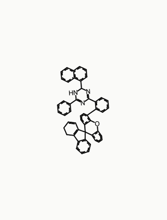 C1=CC2=C(CC1)c1ccccc1C21c2ccccc2Oc2c(-c3ccccc3C3=NC(c4cccc5ccccc45)NC(c4ccccc4)=N3)cccc21